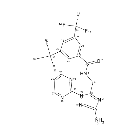 Nc1nc(CNC(=O)c2cc(C(F)(F)F)cc(C(F)(F)F)c2)n(-c2ncccn2)n1